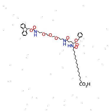 O=C(O)CCCCCCCCCCCCCCCCC(=O)NC(CCC(=O)NCCCOCCOCCOCCCNC(=O)OCC1c2ccccc2-c2ccccc21)C(=O)OCc1ccccc1